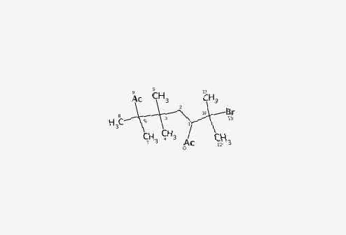 CC(=O)C(CC(C)(C)C(C)(C)C(C)=O)C(C)(C)Br